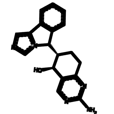 Nc1ncc2c(n1)CC[C@@H](C1c3ccccc3-c3cncn31)[C@@H]2O